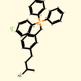 CC(C#N)CCc1cccc(C[P+](c2ccccc2)(c2ccccc2)c2ccccc2)c1.[Cl-]